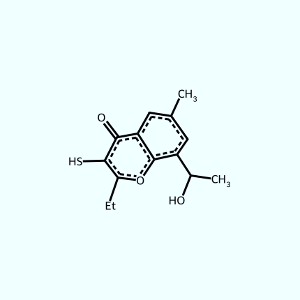 CCc1oc2c(C(C)O)cc(C)cc2c(=O)c1S